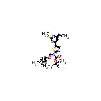 CCc1cc(-c2cnc(N(COCC[Si](C)(C)C)C(=O)OC(C)(C)C)s2)nc(SC)n1